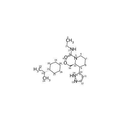 CCNC(=O)N1CCCC(c2ccn[nH]2)[C@H]1CO[C@H]1CC[C@@H](C(C)C)CC1